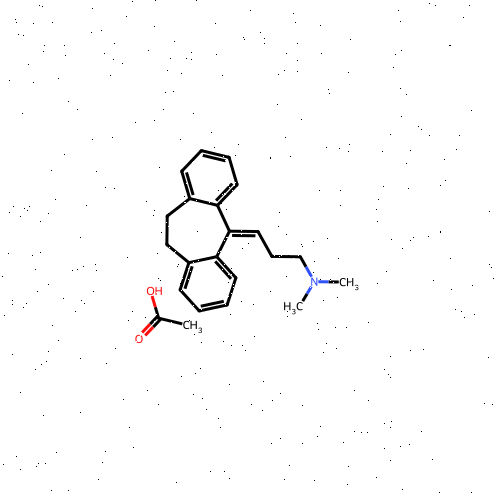 CC(=O)O.CN(C)CCC=C1c2ccccc2CCc2ccccc21